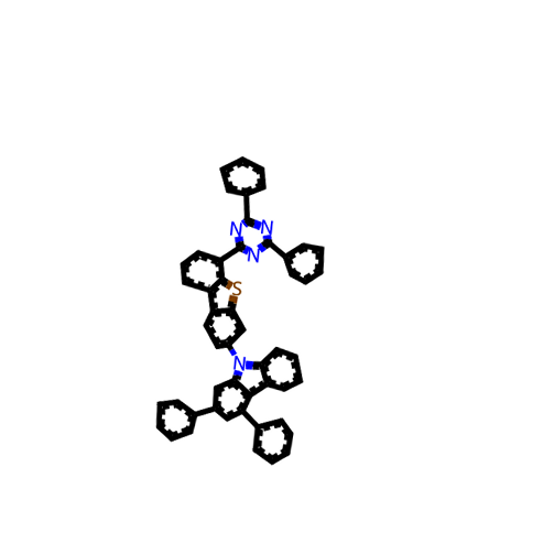 c1ccc(-c2cc(-c3ccccc3)c3c4ccccc4n(-c4ccc5c(c4)sc4c(-c6nc(-c7ccccc7)nc(-c7ccccc7)n6)cccc45)c3c2)cc1